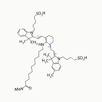 CNC(=O)CCCCCCCCCCNC1=C(/C=C/C2=[N+](CCCCS(=O)(=O)O)c3ccccc3C2(C)C)CCC/C1=C\C=C1\N(CCCCS(=O)(=O)O)c2ccc(C)cc2C1(C)C